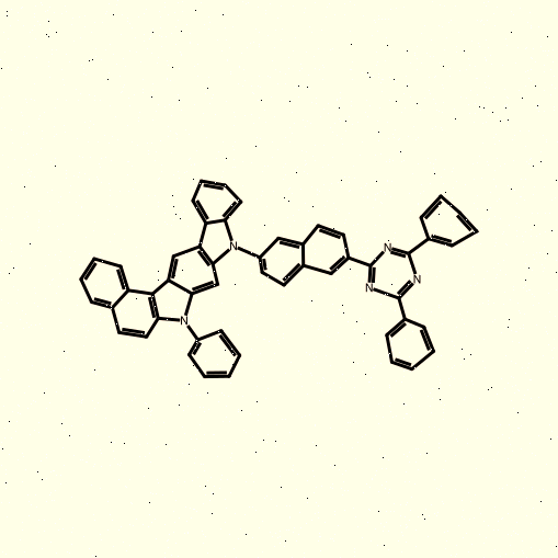 c1ccc(-c2nc(-c3ccccc3)nc(-c3ccc4cc(-n5c6ccccc6c6cc7c8c9ccccc9ccc8n(-c8ccccc8)c7cc65)ccc4c3)n2)cc1